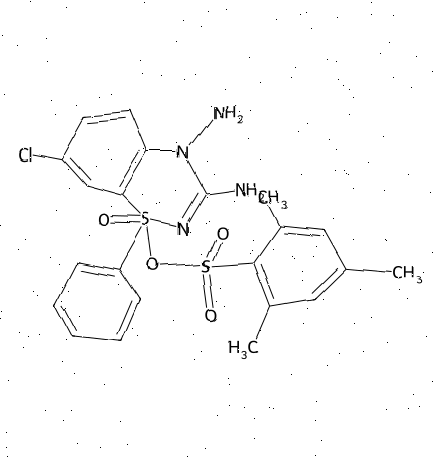 Cc1cc(C)c(S(=O)(=O)OS2(=O)(c3ccccc3)N=C(N)N(N)c3ccc(Cl)cc32)c(C)c1